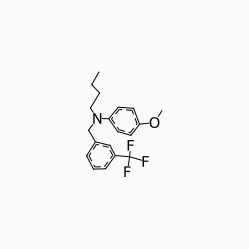 CCCCN(Cc1cccc(C(F)(F)F)c1)c1ccc(OC)cc1